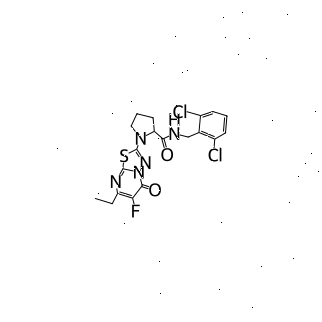 CCc1nc2sc(N3CCCC3C(=O)NCc3c(Cl)cccc3Cl)nn2c(=O)c1F